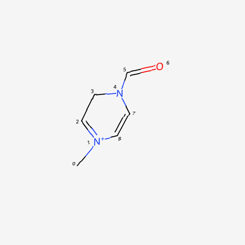 C[N+]1=CCN(C=O)C=C1